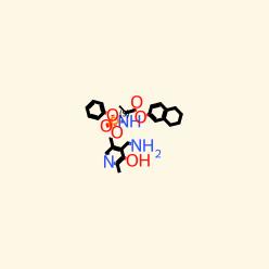 Cc1ncc(COP(=O)(N[C@@H](C)C(=O)Oc2ccc3c(c2)CCCC3)Oc2ccccc2)c(CN)c1O